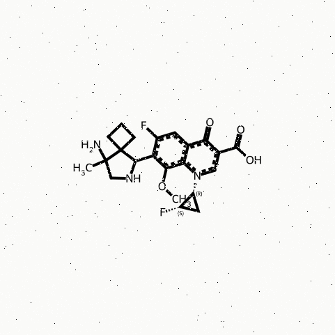 COc1c(C2NCC(C)(N)C23CCC3)c(F)cc2c(=O)c(C(=O)O)cn([C@@H]3C[C@@H]3F)c12